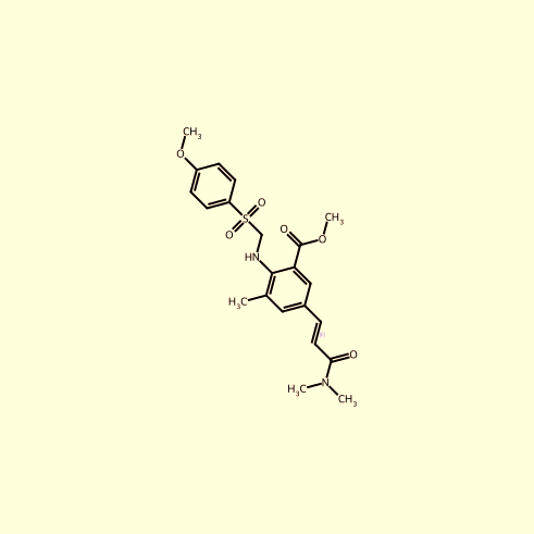 COC(=O)c1cc(/C=C/C(=O)N(C)C)cc(C)c1NCS(=O)(=O)c1ccc(OC)cc1